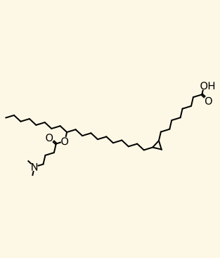 CCCCCCCCC(CCCCCCCCCCC1CC1CCCCCCCC(=O)O)OC(=O)CCCN(C)C